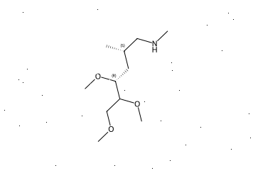 CNC[C@@H](C)C[C@@H](OC)C(COC)OC